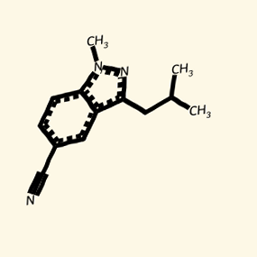 CC(C)Cc1nn(C)c2ccc(C#N)cc12